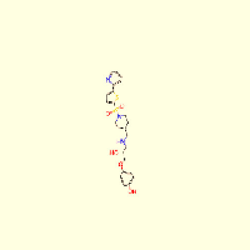 O=S(=O)(c1ccc(-c2ccccn2)s1)N1CCC(CNC[C@@H](O)COc2ccc(O)cc2)CC1